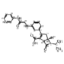 C[C@@H](O)[C@H]1C(=O)N2C(C(=O)O)=C(c3cccc(NCC(=O)Nc4cccnc4)c3)C[C@H]12